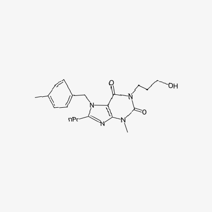 CCCc1nc2c(c(=O)n(CCCO)c(=O)n2C)n1Cc1ccc(C)cc1